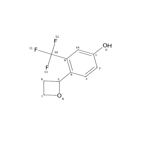 Oc1ccc(C2CCO2)c(C(F)(F)F)c1